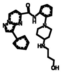 O=C(Nc1ccccc1N1CCC(NCCCO)CC1)c1ccn2ncc(-c3ccccc3)c2n1